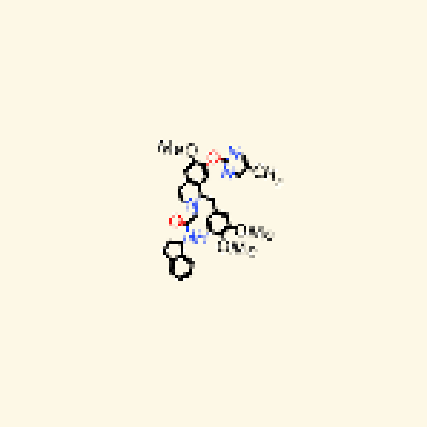 COc1ccc(CC2c3cc(Oc4ncc(C)cn4)c(OC)cc3CCN2CC(=O)NC2CCc3ccccc32)cc1OC